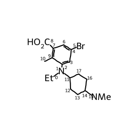 CCN(c1cc(Br)cc(C(=O)O)c1C)C1CCC(NC)CC1